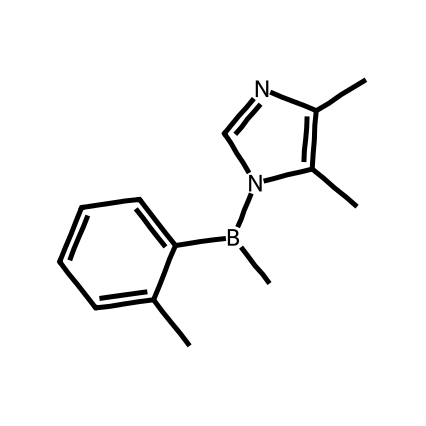 CB(c1ccccc1C)n1cnc(C)c1C